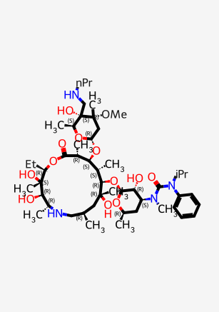 CCCNC[C@]1(O)[C@H](C)O[C@@H](O[C@H]2[C@H](C)[C@@H](O[C@@H]3O[C@H](C)C[C@H](N(C)C(=O)N(c4ccccc4)C(C)C)[C@H]3O)[C@](C)(O)C[C@@H](C)CN[C@H](C)[C@@H](O)[C@](C)(O)[C@@H](CC)OC(=O)[C@@H]2C)C[C@@]1(C)OC